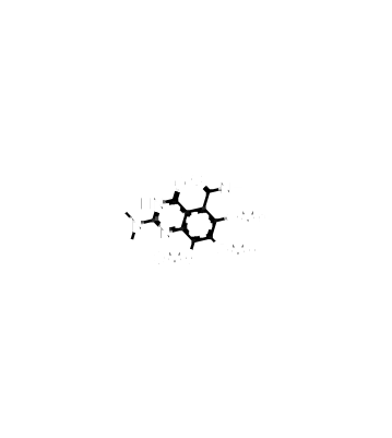 COc1c(OC)c(C(N)=O)c2c(=O)[nH]c(N(C)C)nc2c1OC